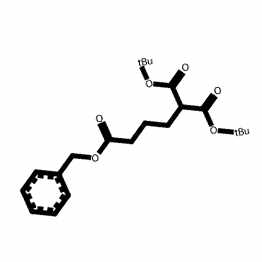 CC(C)(C)OC(=O)C(CCCC(=O)OCc1ccccc1)C(=O)OC(C)(C)C